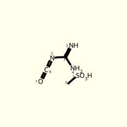 CS(=O)(=O)O.N=C(N)N=C=O